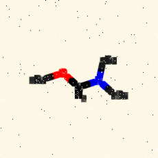 CCCCO[SiH2]N(CCCC)CCCC